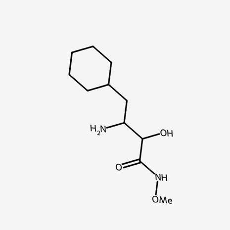 CONC(=O)C(O)C(N)CC1CCCCC1